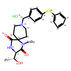 CCCCN1C(=O)[C@@H]([C@H](O)C(C)C)NC(=O)C12CCN(Cc1ccc(Sc3ccccc3)cc1)CC2.Cl